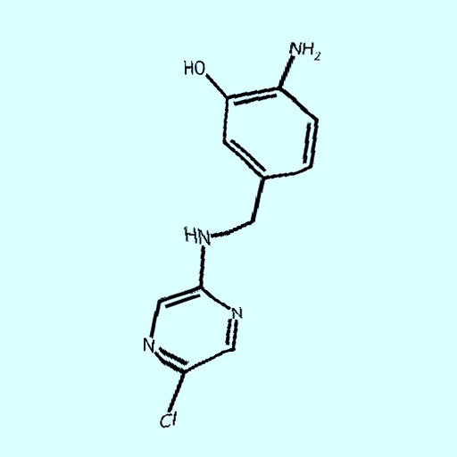 Nc1ccc(CNc2cnc(Cl)cn2)cc1O